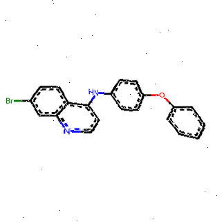 Brc1ccc2c(Nc3ccc(Oc4ccccc4)cc3)ccnc2c1